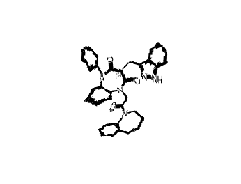 O=C(CN1C(=O)[C@H](Cc2n[nH]c3ccccc23)C(=O)N(c2ccccc2)c2ccccc21)N1CCCCc2ccccc21